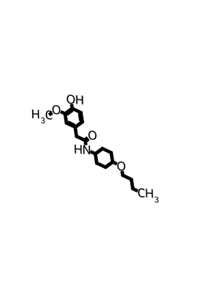 CCCCOC1CCC(NC(=O)Cc2ccc(O)c(OC)c2)CC1